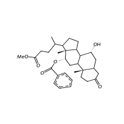 COC(=O)CCC(C)C1CCC2C3C(C[C@H](OC(=O)c4ccccc4)[C@]12C)[C@@]1(C)CCC(=O)CC1C[C@H]3O